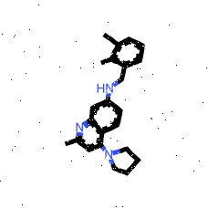 Cc1cc(N2CCCC2)c2ccc(NCc3cccc(C)c3C)cc2n1